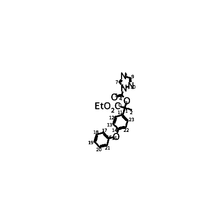 CCOC(=O)C(C)(OC(=O)n1cncn1)c1ccc(Oc2ccccc2)cc1